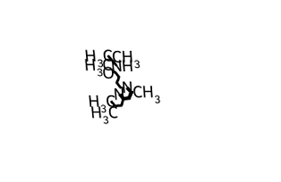 Cc1cc(CC(C)C)nc(CCC(=O)NC(C)(C)C)n1